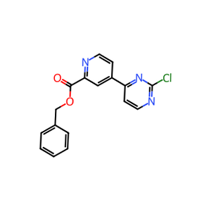 O=C(OCc1ccccc1)c1cc(-c2ccnc(Cl)n2)ccn1